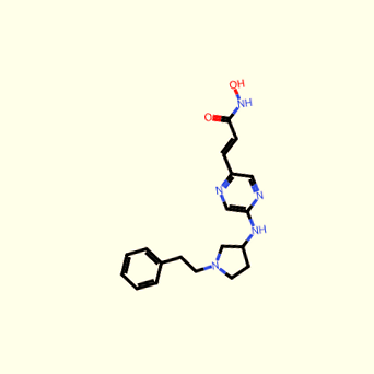 O=C(/C=C/c1cnc(NC2CCN(CCc3ccccc3)C2)cn1)NO